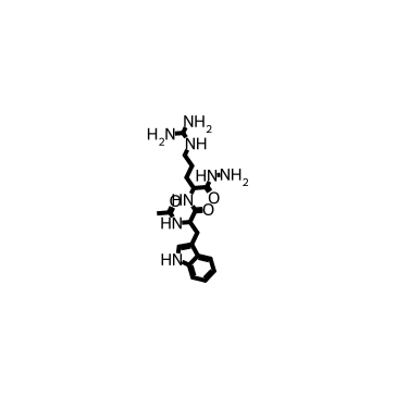 CC(=O)NC(Cc1c[nH]c2ccccc12)C(=O)NC(CCCNC(N)N)C(=O)NN